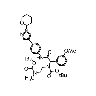 COc1cccc(C(C(=O)Nc2ccc(-c3cnn(C4CCCCO4)c3)cc2)N(CCN(C)C(=O)OC(C)(C)C)C(=O)OC(C)(C)C)c1